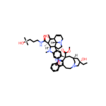 CC[C@]1(O)C[C@H]2CN(CCc3c([nH]c4ccccc34)[C@@](C(=O)OC)(c3cc4c(cc3OC)N(C)[C@@H]3C45CCN4CC=C[C@](CC)([C@H]45)[C@@H](O)[C@]3(C)C(=O)NCCC[Si](C)(C)O)C2)C1